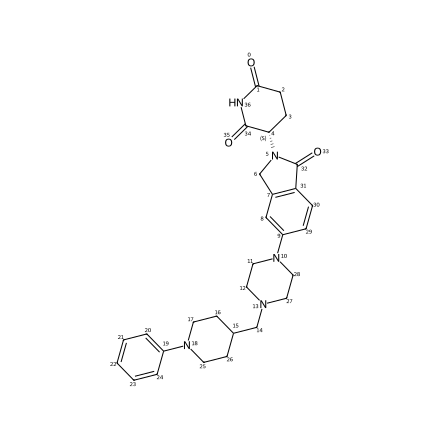 O=C1CC[C@H](N2Cc3cc(N4CCN(CC5CCN(c6ccccc6)CC5)CC4)ccc3C2=O)C(=O)N1